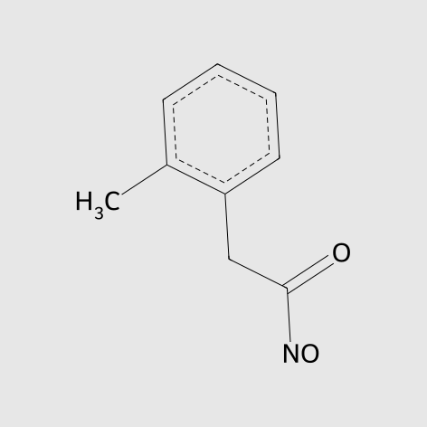 Cc1ccccc1CC(=O)N=O